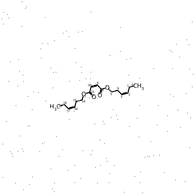 CC/C=C\CCOC(=O)/C=C\C(=O)OCC/C=C\CC